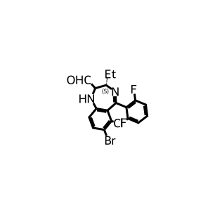 CC[C@@H]1N=C(c2c(F)cccc2F)c2c(ccc(Br)c2Cl)NC1C=O